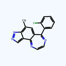 N#Cc1cc2c(-c3ccccc3F)nccnc2c2cnnc12